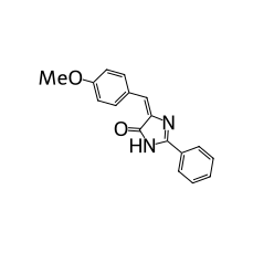 COc1ccc(C=C2N=C(c3ccccc3)NC2=O)cc1